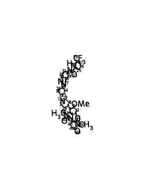 COc1ccc2c(c1C1CCN(C[C@H]3CC[C@H](n4cc5cc(NC(=O)c6cccc(C(F)(F)F)n6)ccc5n4)CC3)CC1)n(C)c(=O)n2C1CCC(=O)N(C)C1=O